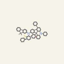 CC1(C)c2ccccc2-c2ccc(N(c3ccc4c(c3)C3(c5ccccc5)c5ccccc5N(c5ccccc5)c5ccc(-c6ccccc6)c-4c53)c3cccc4c3sc3ccccc34)cc21